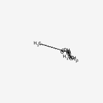 CC/C=C/C/C=C/C/C=C/C/C=C/C/C=C/CCCCCC(=O)OC[C@@H](O)COP(=O)([O-])OCC[N+](C)(C)C